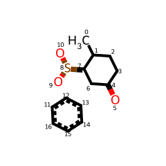 CC1CCC(=O)CC1=S(=O)=O.c1ccccc1